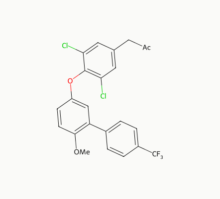 COc1ccc(Oc2c(Cl)cc(CC(C)=O)cc2Cl)cc1-c1ccc(C(F)(F)F)cc1